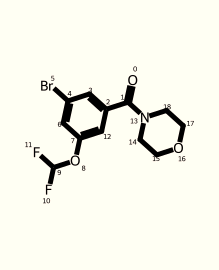 O=C(c1cc(Br)cc(OC(F)F)c1)N1CCOCC1